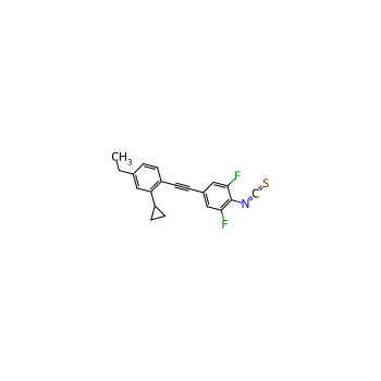 CCc1ccc(C#Cc2cc(F)c(N=C=S)c(F)c2)c(C2CC2)c1